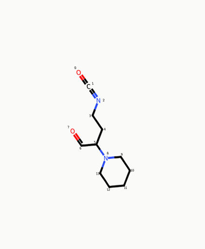 O=C=NCCC(C=O)N1CCCCC1